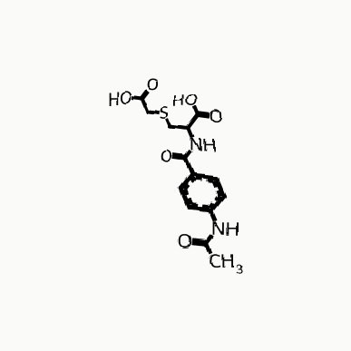 CC(=O)Nc1ccc(C(=O)NC(CSCC(=O)O)C(=O)O)cc1